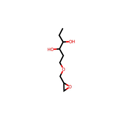 CCC(O)C(O)CCOCC1CO1